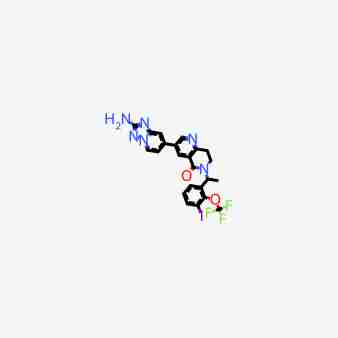 CC(c1cccc(I)c1OC(F)(F)F)N1CCc2ncc(-c3ccn4nc(N)nc4c3)cc2C1=O